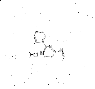 C=Nc1ccnc(-c2ccccc2)n1.Cl